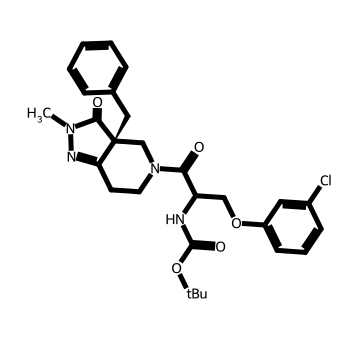 CN1N=C2CCN(C(=O)C(COc3cccc(Cl)c3)NC(=O)OC(C)(C)C)C[C@@]2(Cc2ccccc2)C1=O